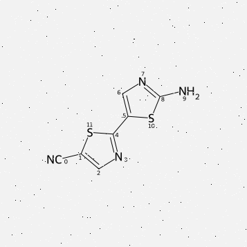 N#Cc1cnc(-c2cnc(N)s2)s1